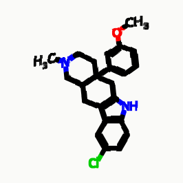 COc1cccc(C23CCN(C)CC2Cc2c([nH]c4ccc(Cl)cc24)C3)c1